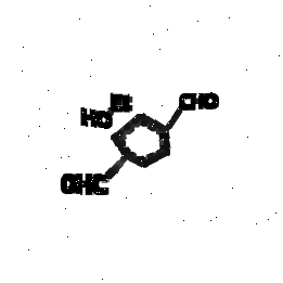 CCO.O=Cc1ccc(C=O)cc1